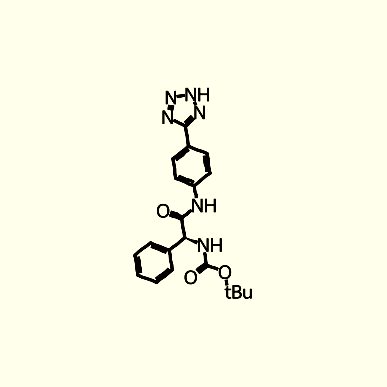 CC(C)(C)OC(=O)N[C@H](C(=O)Nc1ccc(-c2nn[nH]n2)cc1)c1ccccc1